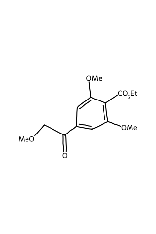 CCOC(=O)c1c(OC)cc(C(=O)COC)cc1OC